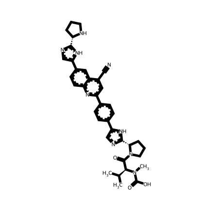 CC(C)[C@@H](C(=O)N1CCC[C@H]1c1ncc(-c2ccc(-c3cc(C#N)c4cc(-c5cnc([C@@H]6CCCN6)[nH]5)ccc4n3)cc2)[nH]1)N(C)C(=O)O